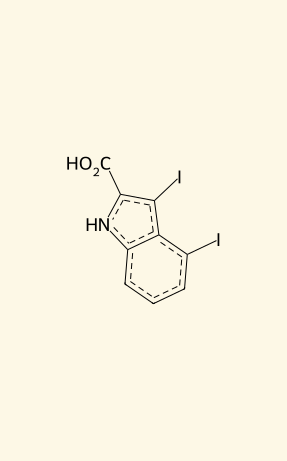 O=C(O)c1[nH]c2cccc(I)c2c1I